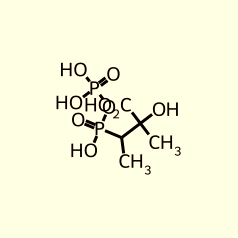 CC(C(C)(O)C(=O)O)P(=O)(O)OP(=O)(O)O